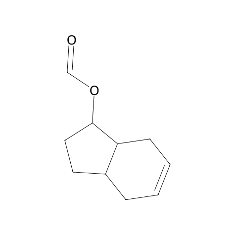 O=COC1CCC2CC=CCC21